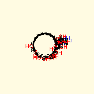 C[C@@H]1[C@H](O)[C@@H](C)/C=C/C=C/C=C/C=C/C=C/C=C/C=C/[C@H](O[C@@H]2O[C@H](C)[C@@H](O)[C@H](N)[C@@H]2O)C[C@@H]2O[C@](O)(C[C@@H](O)C[C@@H](O)[C@H](O)CC[C@@H](O)C[C@@H](O)CC(=O)O[C@H]1C)C[C@H](O)C2C(=O)NCC(F)F